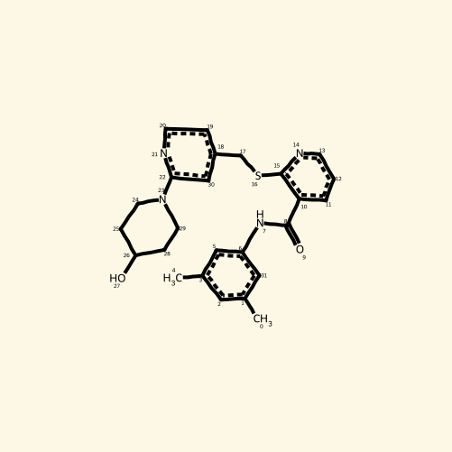 Cc1cc(C)cc(NC(=O)c2cccnc2SCc2ccnc(N3CCC(O)CC3)c2)c1